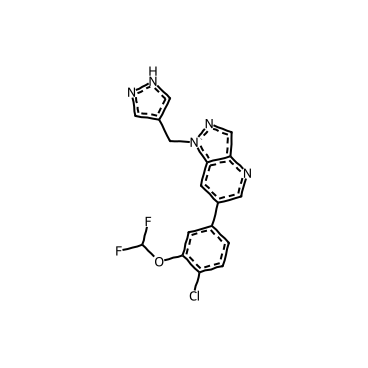 FC(F)Oc1cc(-c2cnc3cnn(Cc4cn[nH]c4)c3c2)ccc1Cl